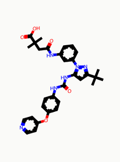 CC(C)(CC(=O)Nc1cccc(-n2nc(C(C)(C)C)cc2NC(=O)Nc2ccc(Oc3ccncc3)cc2)c1)C(=O)O